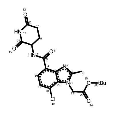 Cc1nc2c(C(=O)NC3CCC(=O)NC3=O)ccc(Cl)c2n1CC(=O)OC(C)(C)C